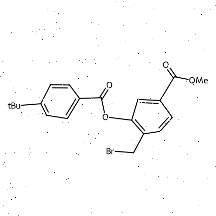 COC(=O)c1ccc(CBr)c(OC(=O)c2ccc(C(C)(C)C)cc2)c1